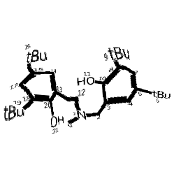 CN(Cc1cc(C(C)(C)C)cc(C(C)(C)C)c1O)Cc1cc(C(C)(C)C)cc(C(C)(C)C)c1O